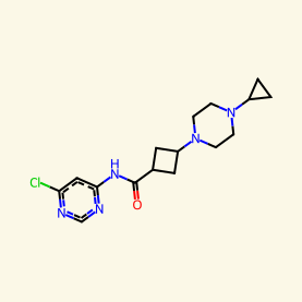 O=C(Nc1cc(Cl)ncn1)C1CC(N2CCN(C3CC3)CC2)C1